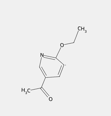 CCOc1[c]cc(C(C)=O)cn1